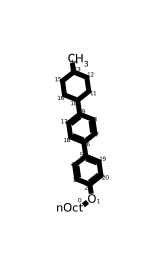 CCCCCCCCOc1ccc(-c2ccc(C3CCC(C)CC3)cc2)cc1